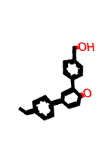 CC=c1ccc(=C2C=CC(=O)C(c3ccc(CO)cc3)=C2)cc1